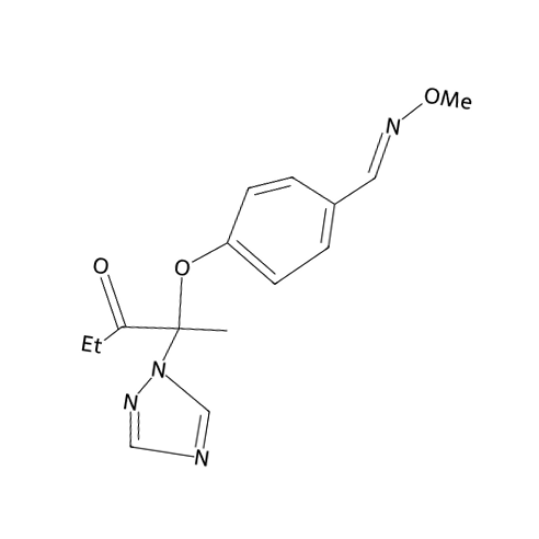 CCC(=O)C(C)(Oc1ccc(C=NOC)cc1)n1cncn1